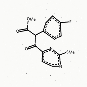 COC(=O)C(C(=O)c1ccnc(SC)n1)c1ccc(F)cc1